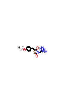 COc1ccc(/C=C2\SC(=O)N(Cc3nnn[nH]3)C2=O)cc1